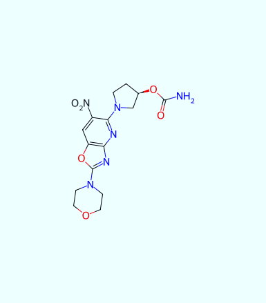 NC(=O)O[C@@H]1CCN(c2nc3nc(N4CCOCC4)oc3cc2[N+](=O)[O-])C1